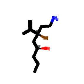 C=C(C)[C@@](S)(CCN)C[C@H](O)CCC